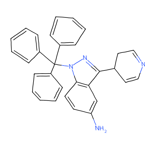 Nc1ccc2c(c1)c(C1C=CN=CC1)nn2C(c1ccccc1)(c1ccccc1)c1ccccc1